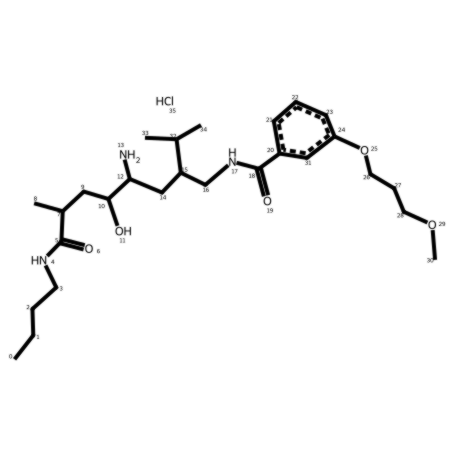 CCCCNC(=O)C(C)CC(O)C(N)CC(CNC(=O)c1cccc(OCCCOC)c1)C(C)C.Cl